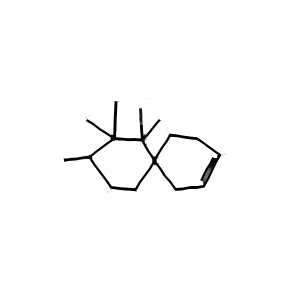 CC(=O)OC1(C)C2(CC=CCC2)CCC(C)C1(C)C